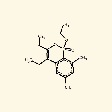 CCOP1(=O)OC(CC)=C(CC)c2cc(C)cc(C)c21